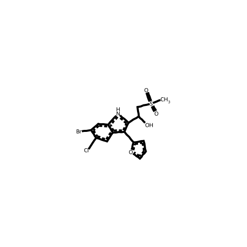 CS(=O)(=O)CC(O)c1[nH]c2cc(Br)c(Cl)cc2c1-c1ccco1